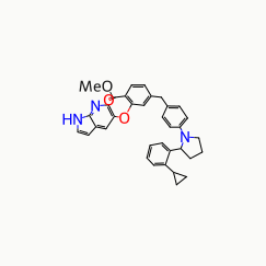 COC(=O)c1ccc(Cc2ccc(N3CCCC3c3ccccc3C3CC3)cc2)cc1Oc1cnc2[nH]ccc2c1